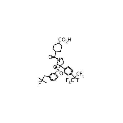 CC(C)(F)Cc1cccc(S(=O)(=O)C2(c3ccc(C(F)(C(F)(F)F)C(F)(F)F)cc3)CCN(C(=O)C3CCC(C(=O)O)CC3)C2)c1